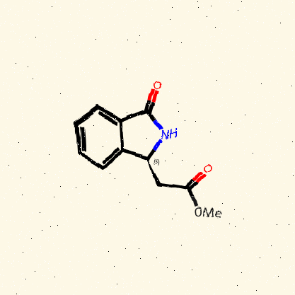 COC(=O)C[C@@H]1NC(=O)c2ccccc21